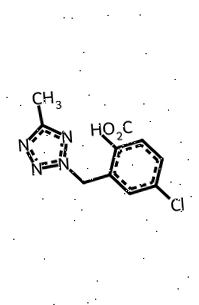 Cc1nnn(Cc2cc(Cl)ccc2C(=O)O)n1